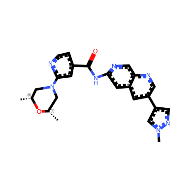 C[C@@H]1CN(c2cc(C(=O)Nc3cc4cc(-c5cnn(C)c5)cnc4cn3)ccn2)C[C@H](C)O1